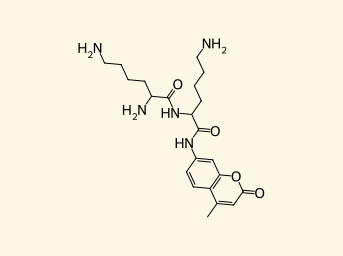 Cc1cc(=O)oc2cc(NC(=O)C(CCCCN)NC(=O)C(N)CCCCN)ccc12